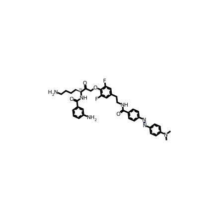 CN(C)c1ccc(/N=N/c2ccc(C(=O)NCCc3cc(F)c(OCC(=O)[C@H](CCCCN)NC(=O)c4cccc(N)c4)c(F)c3)cc2)cc1